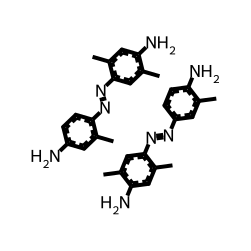 Cc1cc(N=Nc2cc(C)c(N)cc2C)ccc1N.Cc1cc(N=Nc2ccc(N)cc2C)c(C)cc1N